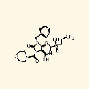 CCCS(=N)(=O)c1nc(N)c2c(n1)n(Cc1ccccc1)c(=O)n2C(=O)N1CCOCC1